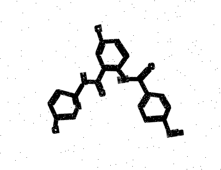 CNc1ccc(C(=O)Nc2ccc(Cl)cc2C(=O)Nc2ccc(Cl)cn2)cc1